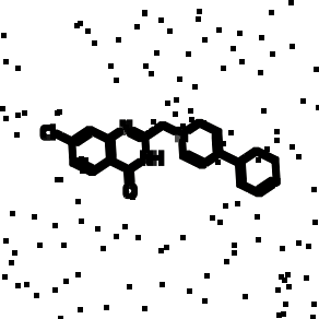 O=c1[nH]c(CN2C=CC(C3=CC=CCC3)=CC2)nc2cc(Cl)ccc12